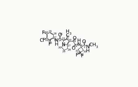 CNC(=O)C1(NC(=O)C(=O)c2c(C)c(C(=O)Nc3ccc(F)c(Cl)c3F)n3c2CCC3)CC(F)(F)C1